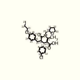 CC1=C(C(=O)O)[C@H](c2ccc(Cl)cc2)C(Cc2ccc(OCCI)cc2)C(=O)N1C[C@H]1CCCO1